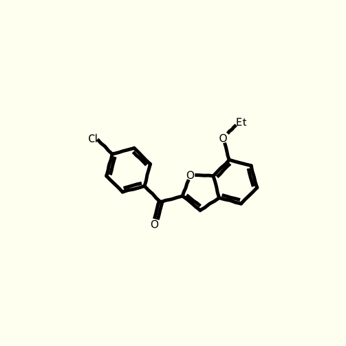 CCOc1cccc2cc(C(=O)c3ccc(Cl)cc3)oc12